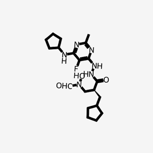 Cc1nc(NNC(=O)[C@@H](CC2CCCC2)CN(O)C=O)c(F)c(NC2CCCC2)n1